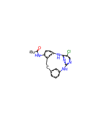 CCC(C)C(=O)Nc1ccc2cc1CCc1cccc(c1)Nc1ncc(Cl)c(n1)N2